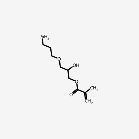 C=C(C)C(=O)OCC(O)COCCC[SiH3]